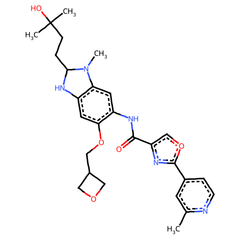 Cc1cc(-c2nc(C(=O)Nc3cc4c(cc3OCC3COC3)NC(CCC(C)(C)O)N4C)co2)ccn1